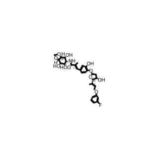 C/C(=C\c1ccc(O[C@H]2C[C@H](O)[C@@H](/C(C)=C/COc3cccc(F)c3)O2)c(O)c1)C(=O)N[C@@H]1[C@H](O)[C@@H](O)[C@H]2OCO[C@H]2[C@@H]1O